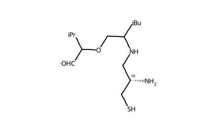 CCC(C)C(COC([C]=O)C(C)C)NC[C@H](N)CS